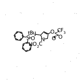 CC(C)(C)[Si](OCC1C=C(OS(=O)(=O)C(F)(F)F)CN1C(=O)O)(c1ccccc1)c1ccccc1